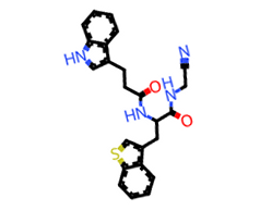 N#CCNC(=O)C(Cc1csc2ccccc12)NC(=O)CCc1c[nH]c2ccccc12